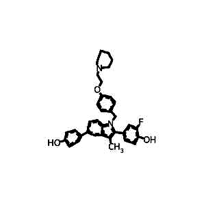 Cc1c(-c2ccc(O)c(F)c2)n(Cc2ccc(OCCN3CCCCC3)cc2)c2ccc(-c3ccc(O)cc3)cc12